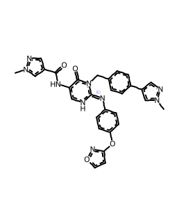 Cn1cc(C(=O)Nc2c[nH]/c(=N\c3ccc(Oc4ccon4)cc3)n(Cc3ccc(-c4cnn(C)c4)cc3)c2=O)cn1